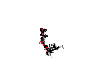 CC[C@H](C)[C@@H]([C@@H](CC(=O)N1CCC[C@H]1[C@H](OC)[C@@H](C)C(=O)N[C@@H](Cc1ccccc1)c1nccs1)OC)N(C)C(=O)[C@@H](NC(=O)C(C)(C)NC(=O)OCc1ccc(NC(=O)[C@H](CCCNC(N)=O)NC(=O)[C@@H](NC(=O)[C@H](CCCCN)NC(=O)[C@@H](O)CO)C(C)C)cc1)C(C)C